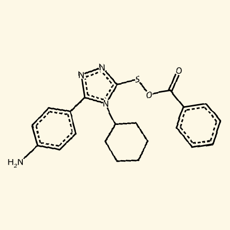 Nc1ccc(-c2nnc(SOC(=O)c3ccccc3)n2C2CCCCC2)cc1